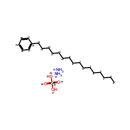 CCCCCCCCCCCCCCCCc1ccccc1.N.N.O=S(=O)(O)O